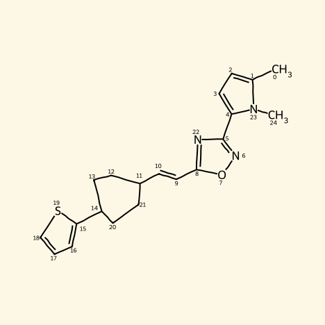 Cc1ccc(-c2noc(C=CC3CCC(c4cccs4)CC3)n2)n1C